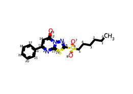 CCCCCCS(=O)(=O)c1nn2c(=O)cc(-c3ccccc3)nc2s1